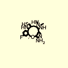 CCN/C1=C(\N=N)C/C(=C/S)C(=N)c2ccc(F)cc2[C@@H](C)Oc2cc1cnc2N